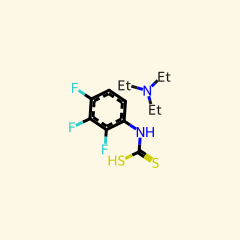 CCN(CC)CC.Fc1ccc(NC(=S)S)c(F)c1F